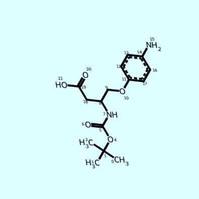 CC(C)(C)OC(=O)NC(COc1ccc(N)cc1)CC(=O)O